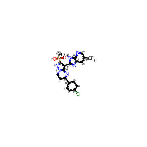 CCS(=O)(=O)c1nn2ccc(-c3ccc(Cl)cc3)nc2c1-c1nc2cc(C(F)(F)F)cnc2n1C